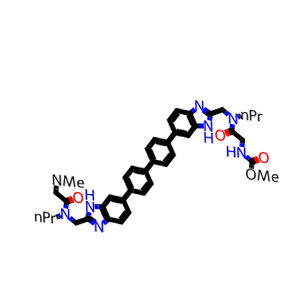 CCCN(Cc1nc2ccc(-c3ccc(-c4ccc(-c5ccc6nc(CN(CCC)C(=O)CNC(=O)OC)[nH]c6c5)cc4)cc3)cc2[nH]1)C(=O)CNC